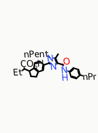 CCCCCn1c(-c2ccc3c(c2)CCC3C(CC)C(=O)O)nc(C(=O)Nc2ccc(CCC)cc2)c1C